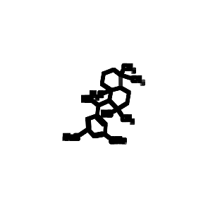 COc1cc(OC)cc(C(O)C2C(C)(O)CCC3C(C)(C)CCCC32C)c1